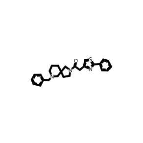 O=C(Cc1csc(-c2ccccc2)n1)N1CCC2(CCCN(Cc3ccccc3)C2)C1